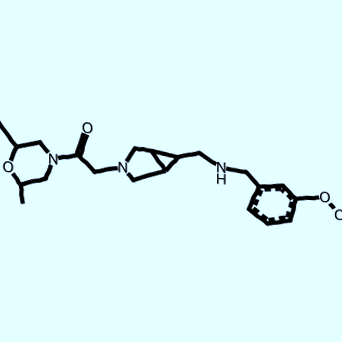 CC1CN(C(=O)CN2CC3C(CNCc4cccc(OC(F)(F)F)c4)C3C2)CC(C)O1